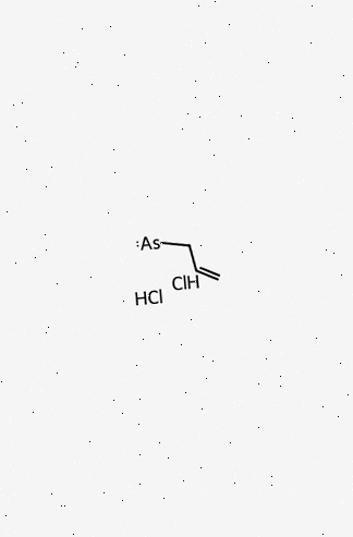 C=CC[As].Cl.Cl